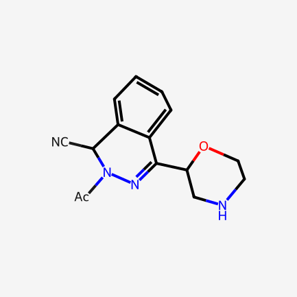 CC(=O)N1N=C(C2CNCCO2)c2ccccc2C1C#N